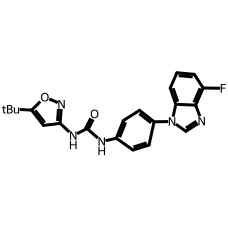 CC(C)(C)c1cc(NC(=O)Nc2ccc(-n3cnc4c(F)cccc43)cc2)no1